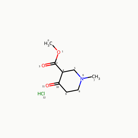 COC(=O)C1CN(C)CCC1=O.Cl